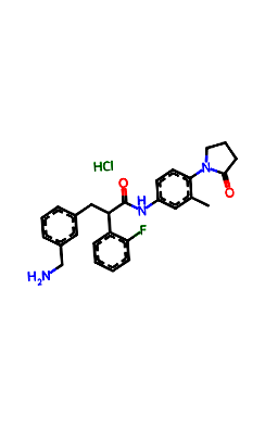 Cc1cc(NC(=O)C(Cc2cccc(CN)c2)c2ccccc2F)ccc1N1CCCC1=O.Cl